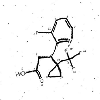 O=C(O)CC(c1ncccc1F)C1(C(F)(F)F)CC1